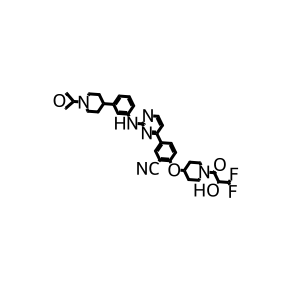 N#Cc1cc(-c2ccnc(Nc3cccc(C4CCN(C5COC5)CC4)c3)n2)ccc1OC1CCN(C(=O)[C@@H](O)C(F)F)CC1